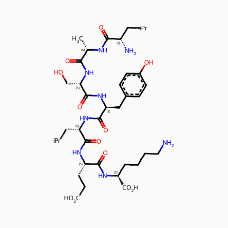 CC(C)C[C@H](NC(=O)[C@H](Cc1ccc(O)cc1)NC(=O)[C@H](CO)NC(=O)[C@H](C)NC(=O)[C@@H](N)CC(C)C)C(=O)N[C@@H](CCC(=O)O)C(=O)N[C@@H](CCCCN)C(=O)O